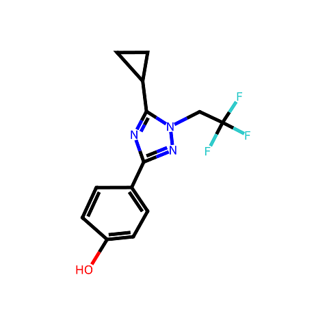 Oc1ccc(-c2nc(C3CC3)n(CC(F)(F)F)n2)cc1